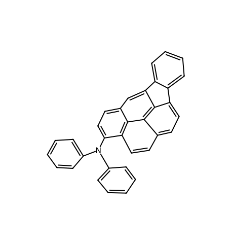 c1ccc(N(c2ccccc2)c2ccc3cc4c5c(ccc6ccc2c3c65)-c2ccccc2-4)cc1